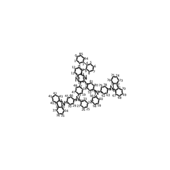 c1ccc(-c2ccccc2-c2cccc3nc(-c4ccc(N(c5ccccc5)c5ccc(-n6c7ccccc7c7ccccc76)cc5)cc4)c(-c4ccc(N(c5ccccc5)c5ccc(-n6c7ccccc7c7ccccc76)cc5)cc4)nc23)cc1